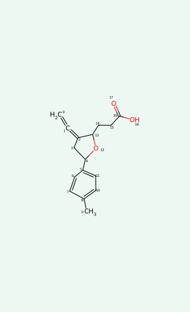 C=C=C1CC(c2ccc(C)cc2)OC1CCC(=O)O